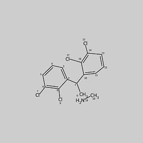 CC(c1cccc(Cl)c1Cl)c1cccc(Cl)c1Cl.CN